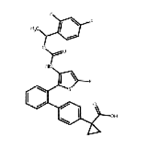 CC(OC(=O)Nc1cc(F)sc1-c1ccccc1-c1ccc(C2(C(=O)O)CC2)cc1)c1ccc(F)cc1F